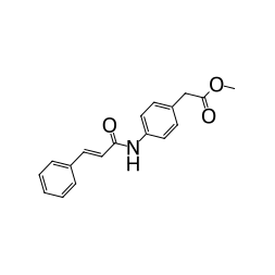 COC(=O)Cc1ccc(NC(=O)C=Cc2ccccc2)cc1